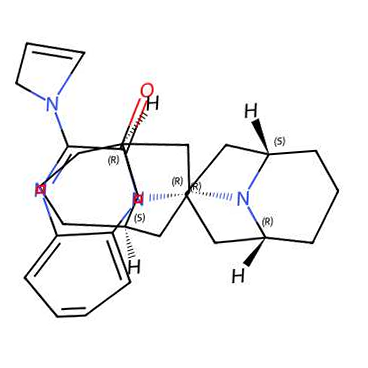 O=c1c(N2C=CC2)nc2ccccc2n1[C@H]1C[C@H]2CCC[C@@H](C1)N2[C@H]1C[C@@H]2CCC[C@@H](C2)C1